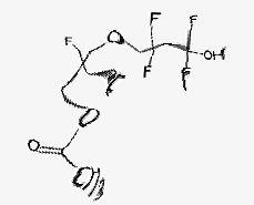 CC(=O)OCC(F)(F)OC(F)(F)C(O)(F)F